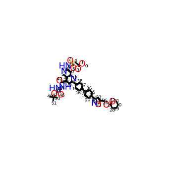 COC(=O)CS(=O)(=O)Nc1cc2nc(-c3ccc(-c4ccc(-c5cc(COC6CCCCO6)on5)cc4)cc3)cc(C(=O)NNC(=O)OC(C)(C)C)c2cn1